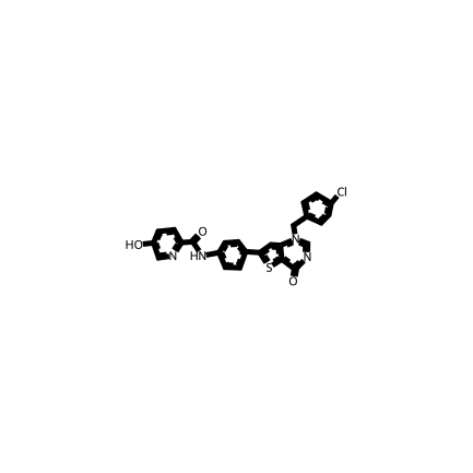 O=C(Nc1ccc(-c2cc3c(s2)c(=O)ncn3Cc2ccc(Cl)cc2)cc1)c1ccc(O)cn1